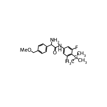 COCc1ccc(C(N)C(=O)Nc2cc(F)c([Si](C)(C)C)c(F)c2)cc1